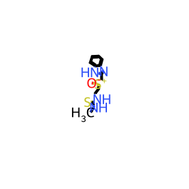 CNC(=S)NCC[S+]([O-])Cc1nc2ccccc2[nH]1